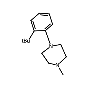 CN1CCN(c2c[c]ccc2C(C)(C)C)CC1